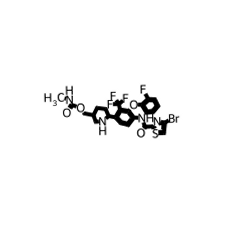 CNC(=O)OCC1CCC(c2ccc(NC(=O)c3nc(Br)cs3)c(Oc3ccccc3F)c2C(F)(F)F)NC1